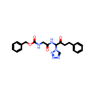 O=C(CNC(=O)OCc1ccccc1)NC(C(=O)CCc1ccccc1)n1cnnn1